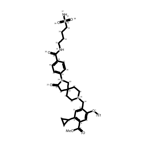 CCOc1cc(C(=O)OC)c(C2CC2)cc1CN1CCC2(CC1)CC(=O)N(c1ccc(C(=O)NCCCCS(N)(=O)=O)cc1)C2